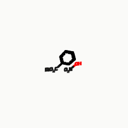 CCOC(=O)c1ccccc1.O=[N+]([O-])O